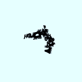 CN(CC1CC1)c1ccn2ncc(C(=O)Nc3cn([C@H]4CC[C@H](CO)CC4)nc3C(F)F)c2n1